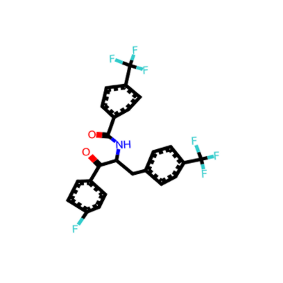 O=C(NC(Cc1ccc(C(F)(F)F)cc1)C(=O)c1ccc(F)cc1)c1ccc(C(F)(F)F)cc1